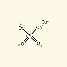 CCS(=O)(=O)[O-].[Cu+]